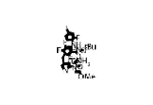 COCCN(c1nccc(Cc2cc(C(=O)NOC(C)(C)C)c(Nc3ccc(I)cc3F)c(F)c2F)c1F)S(N)(=O)=O